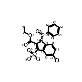 CCOC(=O)c1c(S(=O)(=O)Cl)c2cc(Cl)ccc2n1[S+]([O-])c1ccccc1